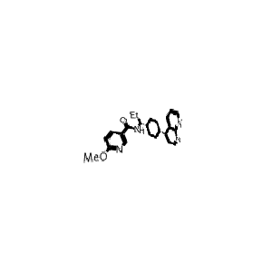 CCC(NC(=O)c1ccc(OC)nc1)[C@H]1CC[C@@H](c2ccnc3ncccc32)CC1